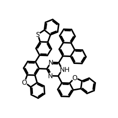 c1ccc2c(c1)cc(C1=NC(c3c(-c4ccc5c(c4)sc4ccccc45)ccc4oc5ccccc5c34)=NC(c3cccc4c3oc3ccccc34)N1)c1ccccc12